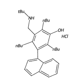 CCCCc1c(O)c(CCCC)c(-c2cccc3ccccc23)c(CCCC)c1CNC(C)(C)C.Cl